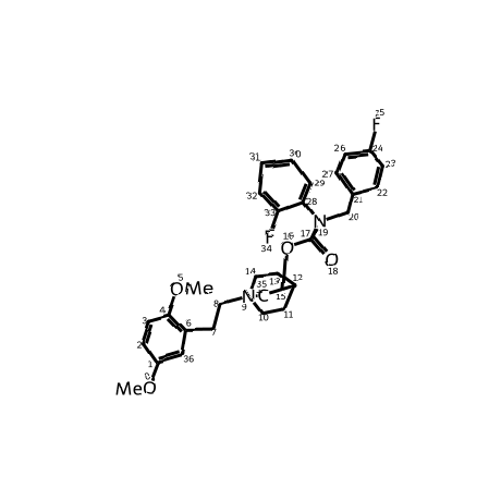 COc1ccc(OC)c(CC[N+]23CCC(CC2)C(OC(=O)N(Cc2ccc(F)cc2)c2ccccc2F)C3)c1